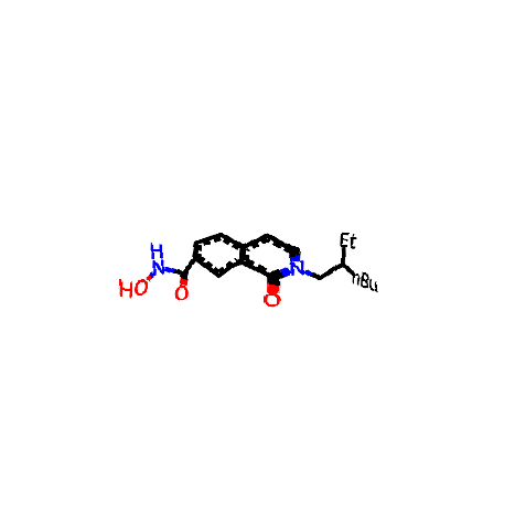 CCCCC(CC)Cn1ccc2ccc(C(=O)NO)cc2c1=O